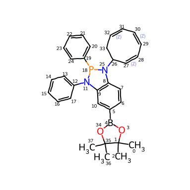 CC1(C)OB(c2ccc3c(c2)N(c2ccccc2)P(c2ccccc2)N3C2\C=C/C=C\C=C/C2)OC1(C)C